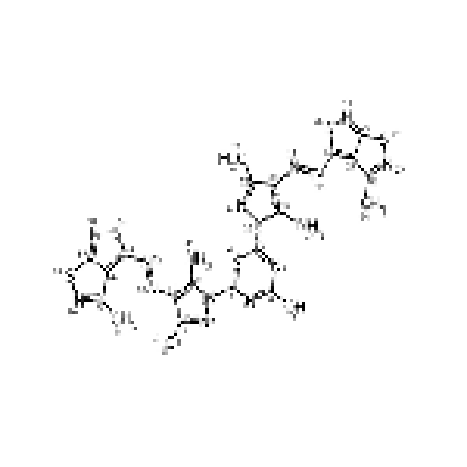 Cc1nn(-c2nc(O)nc(-n3nc(C)c(N=Nc4snc5snc(C)c45)c3N)n2)c(N)c1N=Nc1snc2snc(C)c12